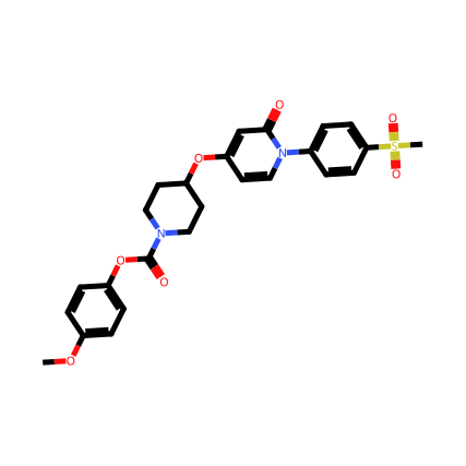 COc1ccc(OC(=O)N2CCC(Oc3ccn(-c4ccc(S(C)(=O)=O)cc4)c(=O)c3)CC2)cc1